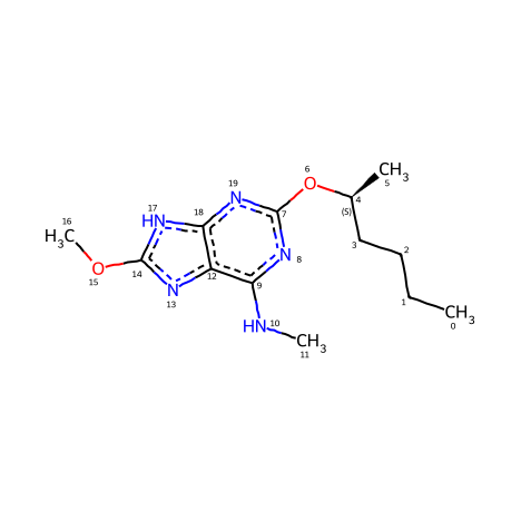 CCCC[C@H](C)Oc1nc(NC)c2nc(OC)[nH]c2n1